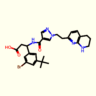 CC(C)(C)c1cc(Br)cc(C(CC(=O)O)NC(=O)c2cnn(CCc3ccc4c(n3)NCCC4)c2)c1